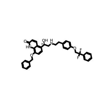 O=c1ccc2c([C@@H](O)CNCCc3ccc(OCC(F)(F)c4ccccc4)cc3)ccc(OCc3ccccc3)c2[nH]1